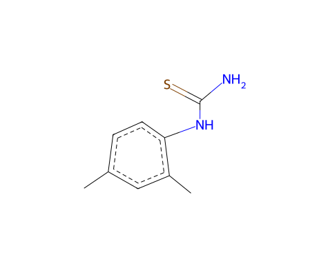 Cc1ccc(NC(N)=S)c(C)c1